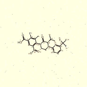 Cc1c(F)c(C(=O)O)cc([N+](=O)[O-])c1N1CCN(c2nccc(C(F)(F)F)n2)[C@H](C(C)C)C1=O